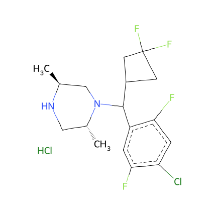 C[C@@H]1CN[C@@H](C)CN1C(c1cc(F)c(Cl)cc1F)C1CC(F)(F)C1.Cl